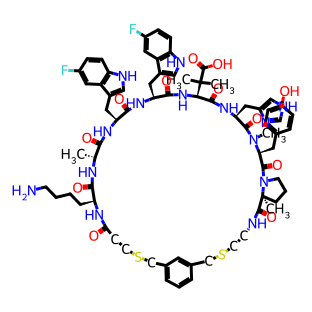 C[C@H]1NC(=O)[C@H](CCCCN)NC(=O)CCSCc2cccc(c2)CSCCNC(=O)[C@]2(C)CCCN2C(=O)[C@H](Cc2ccc(O)cc2)N(C)C(=O)[C@H](Cc2c[nH]cn2)NC(=O)[C@H](C(C)(C)C(=O)O)NC(=O)[C@H](Cc2c[nH]c3ccc(F)cc23)NC(=O)[C@H](Cc2c[nH]c3ccc(F)cc23)NC1=O